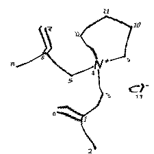 C=C(C)C[N+]1(CC(=C)C)CCCC1.[Cl-]